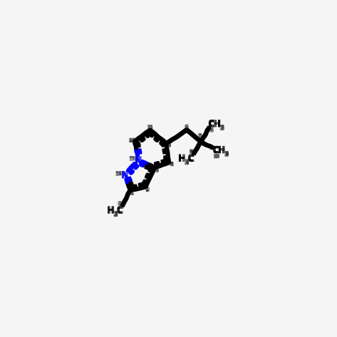 Cc1cc2cc(CC(C)(C)C)ccn2n1